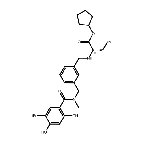 CC(C)C[C@H](NCc1cccc(CN(C)C(=O)c2cc(C(C)C)c(O)cc2O)c1)C(=O)OC1CCCC1